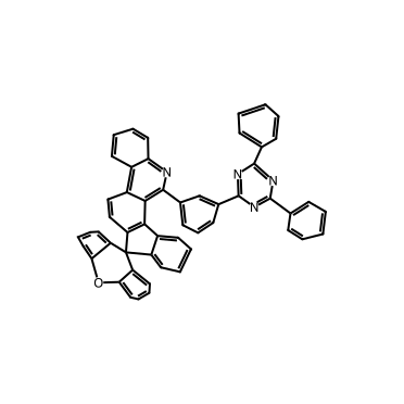 c1ccc(-c2nc(-c3ccccc3)nc(-c3cccc(-c4nc5ccccc5c5ccc6c(c45)-c4ccccc4C64c5ccccc5Oc5ccccc54)c3)n2)cc1